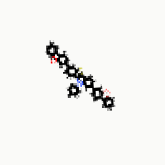 c1ccc(-n2c3cc(-c4ccc5c(c4)oc4ccccc45)ccc3c3sc4cc(-c5ccc6c(c5)oc5ccccc56)ccc4c32)cc1